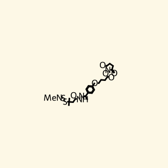 CNSSC(C)(C)CC(=O)N/N=C(\C)c1ccc(OCCCC(=O)ON2C(=O)CCC2=O)cc1